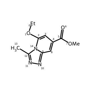 CCOc1cc(C(=O)OC)cc2nnc(C)n12